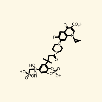 CC(C)(CC(=O)N1CCN(c2cc3c(cc2F)c(=O)c(C(=O)O)cn3C2CC2)CC1)c1cc(P(=O)(O)CP(=O)(O)O)ccc1OP(=O)(O)O